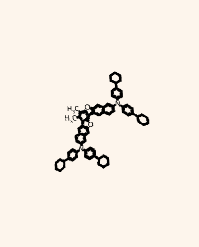 Cc1c(C)c2c3cc4ccc(N(c5ccc(C6CCCCC6)cc5)c5ccc(C6CCCCC6)cc5)cc4cc3oc2c2c1oc1cc3cc(N(c4ccc(C5CCCCC5)cc4)c4ccc(C5CCCCC5)cc4)ccc3cc12